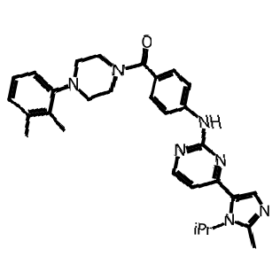 Cc1cccc(N2CCN(C(=O)c3ccc(Nc4nccc(-c5cnc(C)n5C(C)C)n4)cc3)CC2)c1C